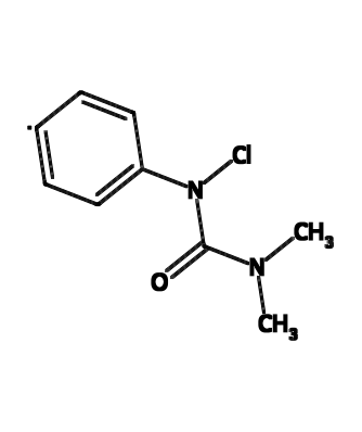 CN(C)C(=O)N(Cl)c1cc[c]cc1